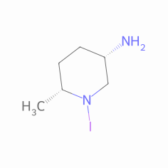 C[C@@H]1CC[C@H](N)CN1I